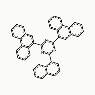 c1ccc2c(-c3nc(-c4cc5ccccc5c5ccccc45)nc(-c4cc5ccccc5c5ccccc45)n3)cccc2c1